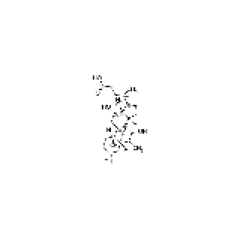 CC1C(O)[C@@H]2[C@H](C[C@H](O)[C@]3(C)[C@@H]([C@H](C)CCC(=O)O)CC[C@@H]23)[C@@]2(C)CC[C@@H](O)C[C@@H]12